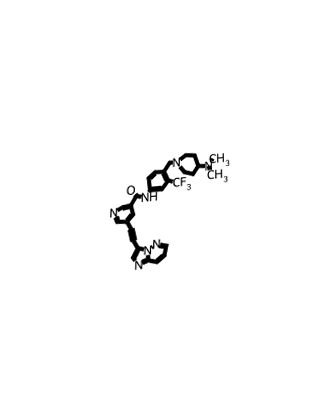 CN(C)C1CCN(Cc2ccc(NC(=O)c3cncc(C#Cc4cnc5cccnn45)c3)cc2C(F)(F)F)CC1